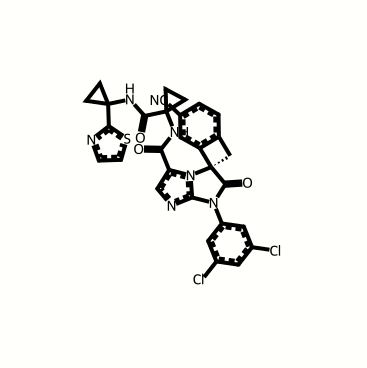 N#Cc1ccc2c(c1)[C@@]1(C2)C(=O)N(c2cc(Cl)cc(Cl)c2)c2ncc(C(=O)NC3(C(=O)NC4(c5nccs5)CC4)CC3)n21